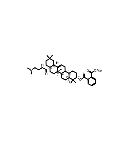 COC(=O)c1ccccc1C(=O)O[C@H]1CC[C@]2(C)C3CC=C4[C@@H]5CC(C)(C)CC[C@]5(C(=O)NCCN(C)C)CC[C@@]4(C)[C@]3(C)CC[C@H]2C1(C)C